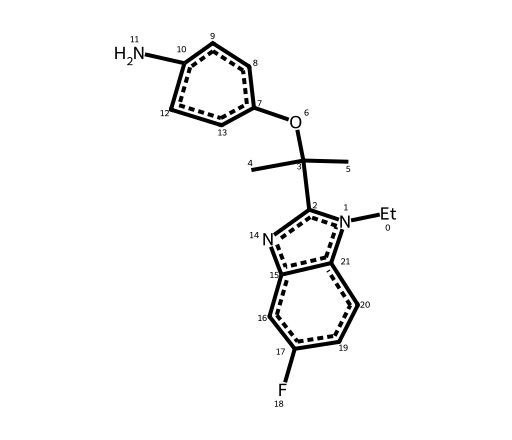 CCn1c(C(C)(C)Oc2ccc(N)cc2)nc2cc(F)ccc21